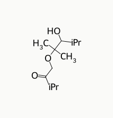 CC(C)C(=O)COC(C)(C)C(O)C(C)C